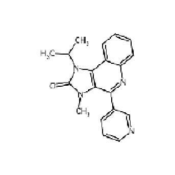 CC(C)n1c(=O)n(C)c2c(-c3cccnc3)nc3ccccc3c21